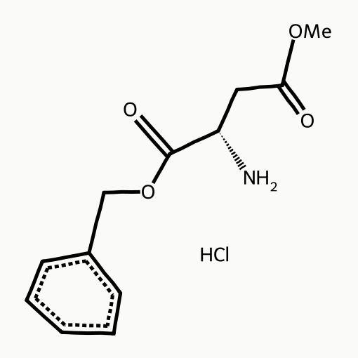 COC(=O)C[C@H](N)C(=O)OCc1ccccc1.Cl